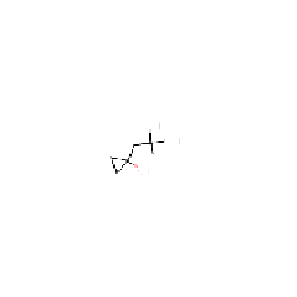 CC(C)(C)CC1(O)CC1